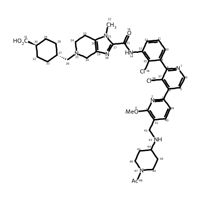 COc1nc(-c2ccnc(-c3cccc(NC(=O)c4nc5c(n4C)CCN(C[C@H]4CC[C@H](C(=O)O)CC4)C5)c3Cl)c2Cl)ccc1CNC1CCN(C(C)=O)CC1